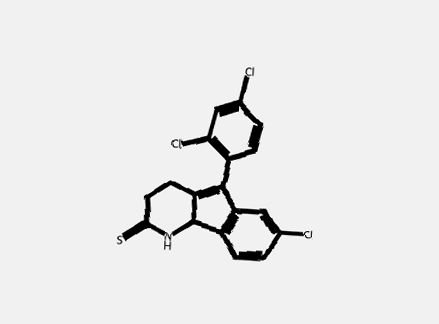 S=C1CCC2=C(c3ccc(Cl)cc3Cl)c3cc(Cl)ccc3C2N1